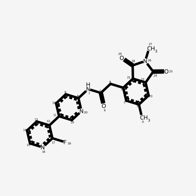 Cc1cc(CC(=O)Nc2ccc(-c3cccnc3F)cn2)c2c(c1)C(=O)N(C)C2=O